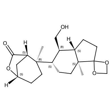 C[C@]1([C@H]2CC[C@@]3(C)[C@@H](CCC34OCO4)[C@@H]2CO)CC[C@H]2C[C@@H]1C(=O)O2